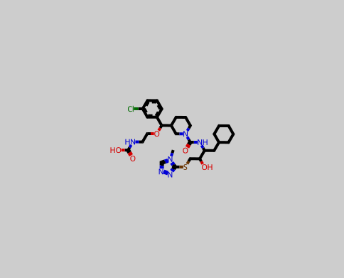 Cn1cnnc1SCC(O)C(CC1CCCCC1)NC(=O)N1CCCC(C(OCCNC(=O)O)c2cccc(Cl)c2)C1